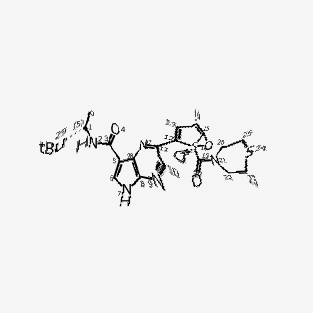 C[C@H](NC(=O)c1c[nH]c2ncc(C3=CC=C4OS43(=O)C(=O)N3CCSCC3)nc12)C(C)(C)C